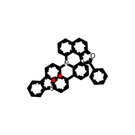 c1ccc(-c2nc3c(ccc4cccc(N(c5ccc6c(c5)sc5ccccc56)c5ccccc5-c5ccccc5)c43)o2)cc1